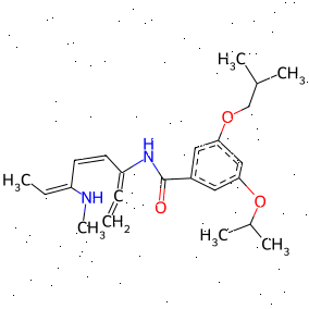 C=C=C(/C=C\C(=C/C)NC)NC(=O)c1cc(OCC(C)C)cc(OC(C)C)c1